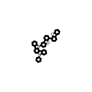 c1ccc(-n2c3ccccc3c3c2ccc2c4ccccc4n(-c4ccc5oc6c(-c7cccc8c7oc7ccccc78)cccc6c5c4)c23)cc1